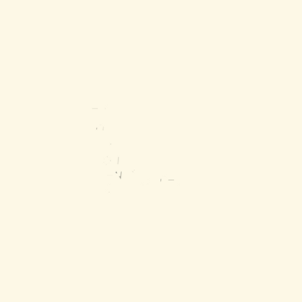 C\C=C/C(C(=O)O)=C(\C=C/C)C(=O)NC